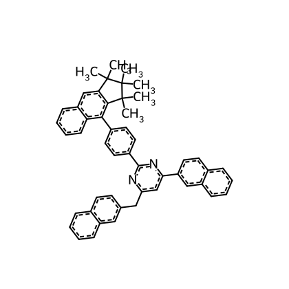 CC1(C)c2cc3ccccc3c(-c3ccc(-c4nc(Cc5ccc6ccccc6c5)cc(-c5ccc6ccccc6c5)n4)cc3)c2C(C)(C)C1(C)C